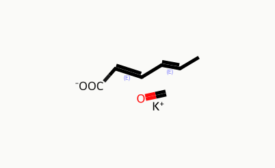 C/C=C/C=C/C(=O)[O-].C=O.[K+]